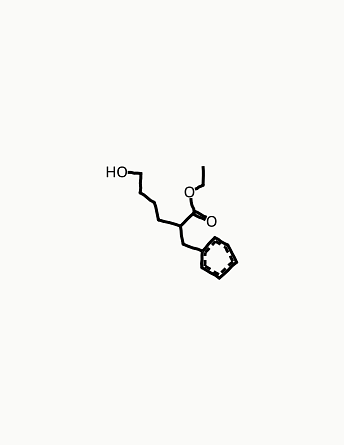 CCOC(=O)C(CCCCO)Cc1ccccc1